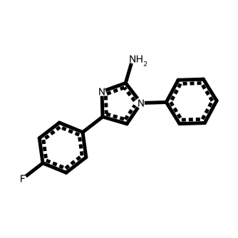 Nc1nc(-c2ccc(F)cc2)cn1-c1ccccc1